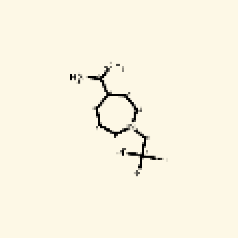 CC(C)C1CCCN(CC(F)(F)F)CC1